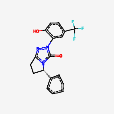 O=c1n(-c2cc(C(F)(F)F)ccc2O)nc2n1[C@H](c1ccccc1)CC2